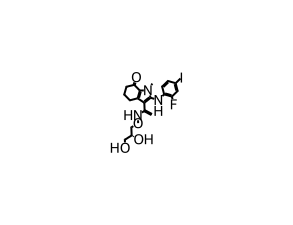 C=C(NOC[C@H](O)CO)c1c2c(n(C)c1Nc1ccc(I)cc1F)C(=O)CCC2